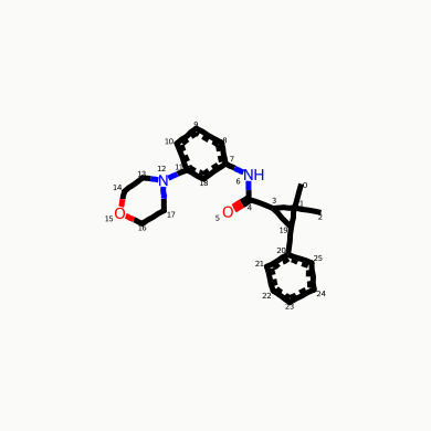 CC1(C)C(C(=O)Nc2cccc(N3CCOCC3)c2)C1c1ccccc1